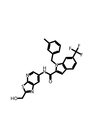 Cc1cccc(Cn2c(C(=O)Nc3cnc4sc(CO)nc4c3)cc3ccc(C(F)(F)F)cc32)c1